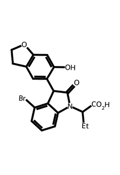 CCC(C(=O)O)N1C(=O)C(c2cc3c(cc2O)OCC3)c2c(Br)cccc21